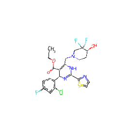 CCOC(=O)C1=C(CN2CC[C@H](O)C(F)(F)C2)NC(c2nccs2)=NC1c1ccc(F)cc1Cl